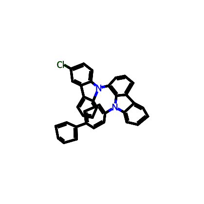 Clc1ccc2c(c1)c1ccccc1n2-c1cccc2c3ccccc3n(-c3ccc(-c4ccccc4)cc3)c12